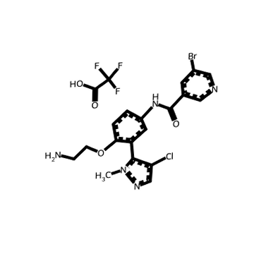 Cn1ncc(Cl)c1-c1cc(NC(=O)c2cncc(Br)c2)ccc1OCCN.O=C(O)C(F)(F)F